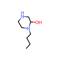 CCCCN1CCNCC1O